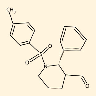 Cc1ccc(S(=O)(=O)N2CCCC(C=O)[C@H]2c2ccccc2)cc1